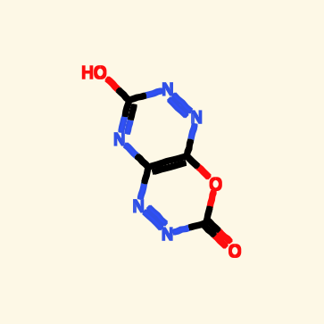 O=c1nnc2nc(O)nnc2o1